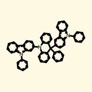 c1ccc(-n2c3ccccc3c3cc(C4(c5ccccc5)c5ccccc5N(c5ccc6c7ccccc7n(-c7ccccc7)c6c5)c5ccccc54)ccc32)cc1